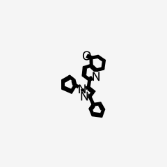 O=C1CCCc2nc(-c3cc(-c4ccccc4)nn3-c3ccccc3)ccc21